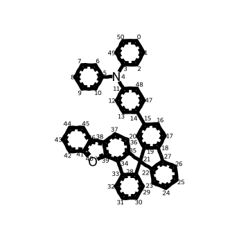 c1ccc(N(c2ccccc2)c2ccc(-c3ccc4c(c3)C3(c5ccccc5-4)c4ccccc4-c4c3ccc3c4oc4ccccc43)cc2)cc1